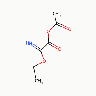 CCOC(=N)C(=O)OC(C)=O